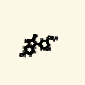 O=C(O)C1CNC=C(C2C(=O)Nc3cc(Cl)ccc32)C1